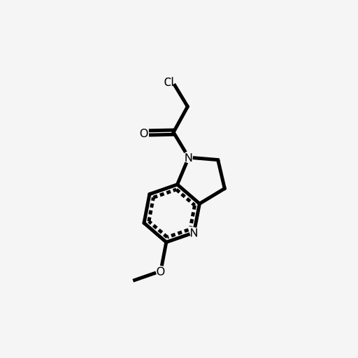 COc1ccc2c(n1)CCN2C(=O)CCl